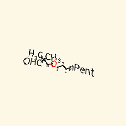 CCCCCCCCOCC(C)(C)C=O